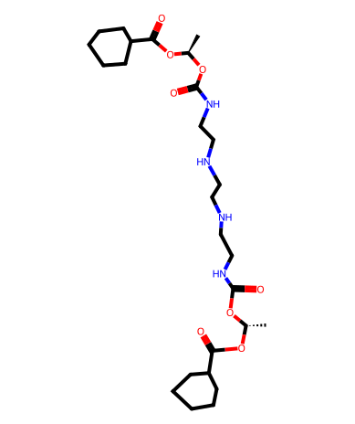 C[C@@H](OC(=O)NCCNCCNCCNC(=O)O[C@H](C)OC(=O)C1CCCCC1)OC(=O)C1CCCCC1